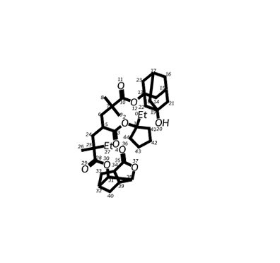 CCC1(OC(=O)C(CC(C)(C)C(=O)OC23CC4CC(CC(O)(C4)C2)C3)CC(C)(CC)C(=O)OC2C3CC4C(=O)OC2C4C3)CCCC1